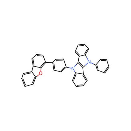 c1ccc(-n2c3ccccc3c3c2c2ccccc2n3-c2ccc(-c3cccc4c3oc3ccccc34)cc2)cc1